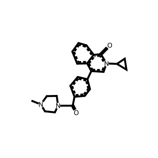 CN1CCN(C(=O)c2ccc(-c3cn(C4CC4)c(=O)c4ccccc34)cc2)CC1